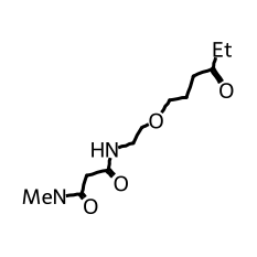 CCC(=O)CCCOCCNC(=O)CC(=O)NC